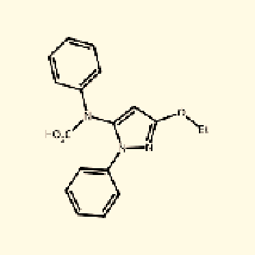 CCOc1cc(N(C(=O)O)c2ccccc2)n(-c2ccccc2)n1